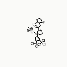 CS(=O)(=O)OCC[C@]1(c2ccc(C(Cl)(Cl)Cl)c(C(Cl)(Cl)Cl)c2)CCCN(C(=O)Cc2c(F)cccc2Cl)C1